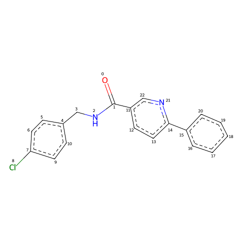 O=C(NCc1ccc(Cl)cc1)c1ccc(-c2ccccc2)nc1